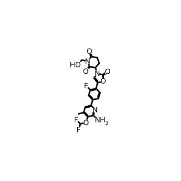 Cc1cc(-c2ccc(-c3cn(C4CCC(=O)N(CO)C4=O)c(=O)o3)c(F)c2)nc(N)c1OC(F)F